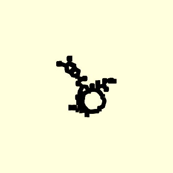 CC(C)(C)OC(=O)N[C@H]1CCCCC/C=C\[C@@H]2C[C@@]2(C(=O)O)NC(=O)[C@@H]2C[C@@H](OC(=O)N3Cc4cc(Cl)c(Cl)cc4C3)CN2C1=O